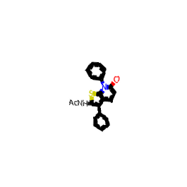 CC(=O)Nc1sc2c(ccc(=O)n2-c2ccccc2)c1-c1ccccc1